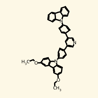 CCOc1ccc2c(c1)c1cc(OCC)ccc1n2-c1ccc(-c2cncc(-c3ccc(-n4c5ccccc5c5ccccc54)cc3)c2)cc1